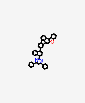 c1ccc(-c2cc(-c3ccccc3)nc(-c3ccc(-c4ccc5c(c4)-c4cc6oc7ccccc7c6c6cccc-5c46)c4ccccc34)n2)cc1